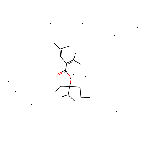 CCCC(CC)(OC(=O)C(C=C(C)C)=C(C)C)C(C)C